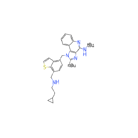 CCCCc1nc2c(NC(C)(C)C)nc3ccccc3c2n1Cc1ccc(CNCCC2CC2)c2sccc12